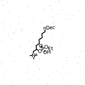 CCCCCCCCCCCCCCCCC(C[N+](C)(C)C)OP(=O)(O)OCC